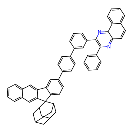 c1ccc(-c2nc3ccc4ccccc4c3nc2-c2cccc(-c3ccc(-c4ccc5c(c4)-c4cc6ccccc6cc4C54C5CC6CC(C5)CC4C6)cc3)c2)cc1